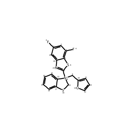 Fc1cc(F)c2sc([N+]3(Cc4ccco4)CSc4ccccc43)nc2c1